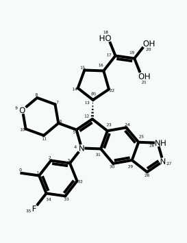 Cc1cc(-n2c(C3CCOCC3)c([C@@H]3CCC(C(O)=C(O)O)C3)c3cc4[nH]ncc4cc32)ccc1F